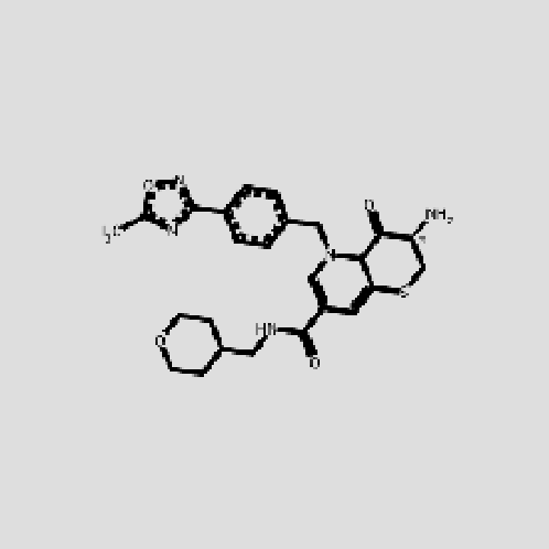 Cc1nc(-c2ccc(CN3C=C(C(=O)NCC4CCOCC4)C=C4SC[C@H](N)C(=O)C43)cc2)no1